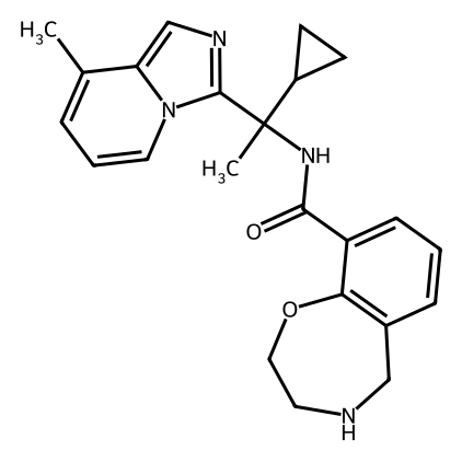 Cc1cccn2c(C(C)(NC(=O)c3cccc4c3OCCNC4)C3CC3)ncc12